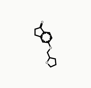 O=C1CCc2cc(OCC3CCCO3)ccc21